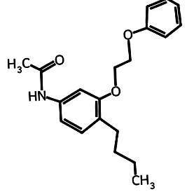 CCCCc1ccc(NC(C)=O)cc1OCCOc1ccccc1